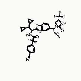 COC[C@H](c1ccc2oc([C@@H](NC(=O)C(F)(F)c3ccc(C#N)cc3)C(C3CC3)C3CC3)nc2c1)N1C[C@@H](C(F)(F)F)NC1=O